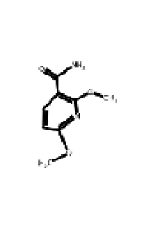 COc1ccc(C(N)=O)c(OC)n1